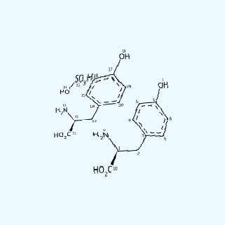 N[C@@H](Cc1ccc(O)cc1)C(=O)O.N[C@@H](Cc1ccc(O)cc1)C(=O)O.O=S(=O)(O)O